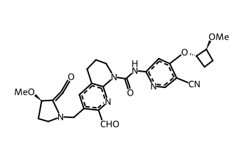 CO[C@H]1CC[C@@H]1Oc1cc(NC(=O)N2CCCc3cc(CN4CC[C@@H](OC)C4=C=O)c(C=O)nc32)ncc1C#N